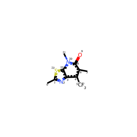 Cc1nc2c(C(F)(F)F)c(C)c(=O)n(C)c2s1